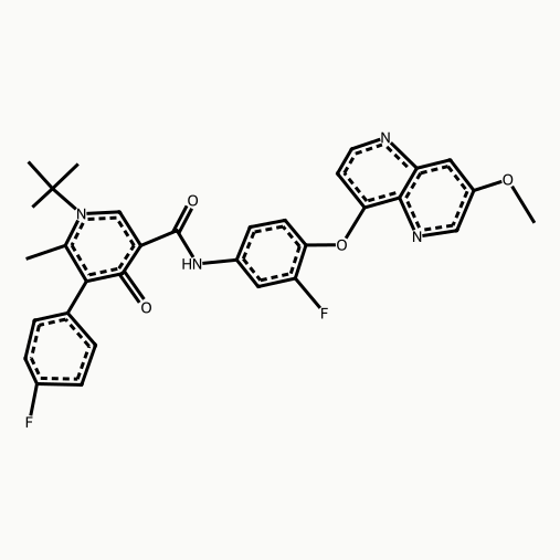 COc1cnc2c(Oc3ccc(NC(=O)c4cn(C(C)(C)C)c(C)c(-c5ccc(F)cc5)c4=O)cc3F)ccnc2c1